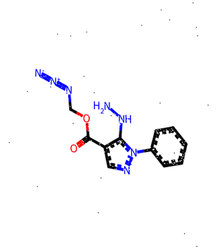 [N-]=[N+]=NCOC(=O)c1cnn(-c2ccccc2)c1NN